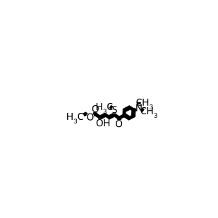 CCOC(=O)/C(O)=C/C=C(\SC)C(=O)c1ccc(N(C)C)cc1